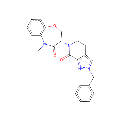 CC1Cc2cn(Cc3ccccc3)nc2C(=O)N1[C@H]1COc2ccccc2N(C)C1=O